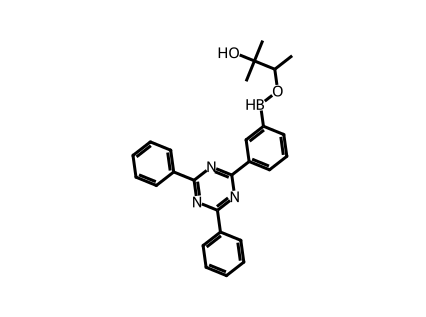 CC(OBc1cccc(-c2nc(-c3ccccc3)nc(-c3ccccc3)n2)c1)C(C)(C)O